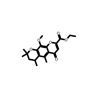 CCOC(=O)c1cc(=O)c2c(C)c3c(c(OC)c2o1)OC(C)(C)CC3C